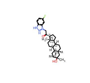 COC[C@]12CC[C@@](C)(O)C[C@H]1CC[C@H]1[C@@H]3CC[C@H](C(=O)CN4NNc5ccc(F)cc54)[C@@]3(C)CC[C@@H]12